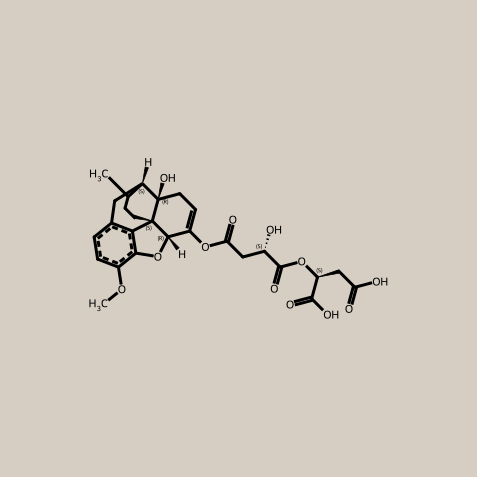 COc1ccc2c3c1O[C@H]1C(OC(=O)C[C@H](O)C(=O)O[C@@H](CC(=O)O)C(=O)O)=CC[C@@]4(O)[C@@H](C2)C(C)CC[C@]314